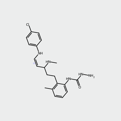 CNC(/C=C\Nc1ccc(Cl)cc1)CCc1c(C)cccc1NC(=O)NN